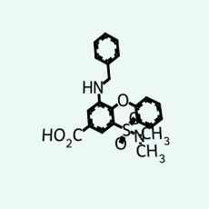 CN(C)S(=O)(=O)c1cc(C(=O)O)cc(NCc2ccccc2)c1Oc1ccccc1